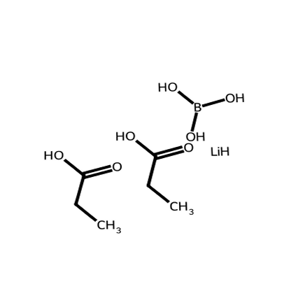 CCC(=O)O.CCC(=O)O.OB(O)O.[LiH]